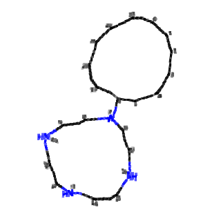 C1CCCCCC(N2CCNCCNCCNCC2)CCCCC1